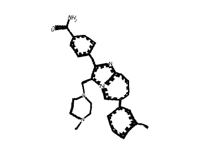 Cc1cccc(-c2ccc3nc(-c4ccc(C(N)=O)cc4)c(CN4CCN(C)CC4)n3c2)c1